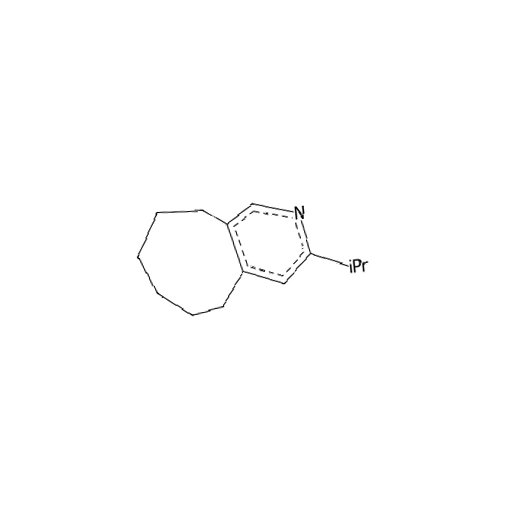 CC(C)c1cc2c(cn1)CCCCCC2